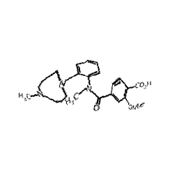 COc1cc(C(=O)N(C)c2ccccc2N2CCN(C)CC2)ccc1C(=O)O